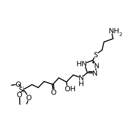 CO[Si](CCCC(=O)CC(O)CNc1nnc(SCCCN)[nH]1)(OC)OC